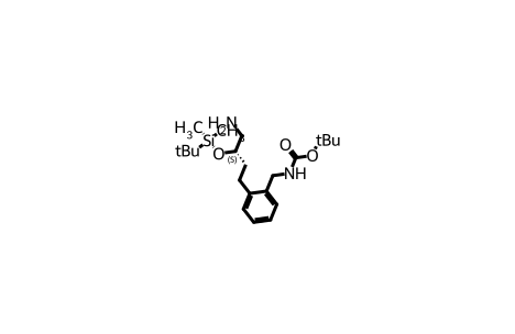 CC(C)(C)OC(=O)NCc1ccccc1CC[C@@H](CN)O[Si](C)(C)C(C)(C)C